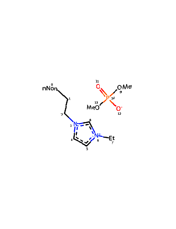 CCCCCCCCCCCn1cc[n+](CC)c1.COP(=O)([O-])OC